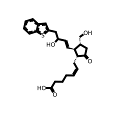 O=C(O)CCC/C=C\C[C@H]1C(=O)C[C@@H](CO)[C@@H]1/C=C/C(O)Cc1cc2ccccc2s1